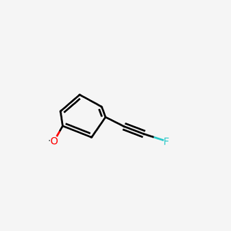 [O]c1cccc(C#CF)c1